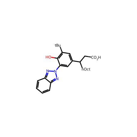 CCCCCCCCC(CC(=O)O)c1cc(-n2nc3ccccc3n2)c(O)c(C(C)(C)C)c1